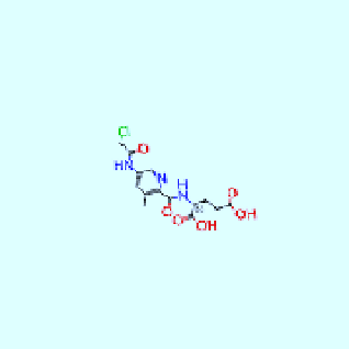 Cc1cc(NC(=O)CCl)cnc1C(=O)N[C@@H](CCC(=O)O)C(=O)O